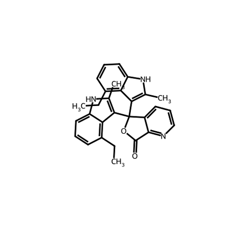 CCc1cccc2[nH]c(C)c(C3(c4c(C)[nH]c5cccc(CC)c45)OC(=O)c4ncccc43)c12